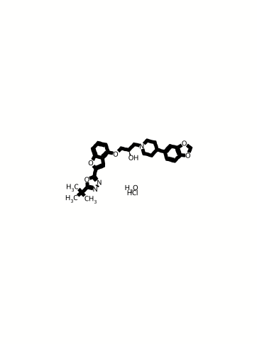 CC(C)(C)c1nnc(-c2cc3c(OC[C@@H](O)CN4CCC(c5ccc6c(c5)OCO6)CC4)cccc3o2)o1.Cl.O